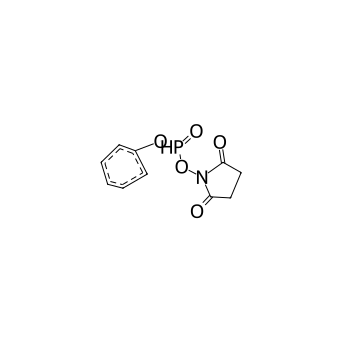 O=C1CCC(=O)N1O[PH](=O)Oc1ccccc1